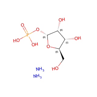 N.N.O=P(O)(O)O[C@H]1O[C@H](CO)[C@@H](O)[C@H]1O